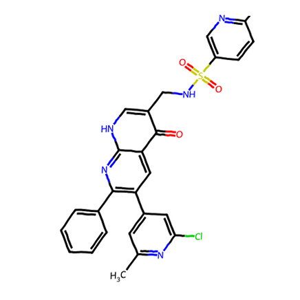 Cc1ccc(S(=O)(=O)NCc2c[nH]c3nc(-c4ccccc4)c(-c4cc(C)nc(Cl)c4)cc3c2=O)cn1